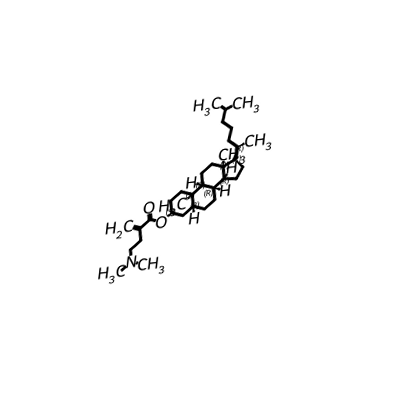 C=C(CCN(C)C)C(=O)O[C@H]1CC[C@@]2(C)[C@H](CC[C@H]3[C@H]4CC[C@H]([C@H](C)CCCC(C)C)[C@@]4(C)CC[C@H]32)C1